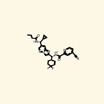 CCCC(=O)N[C@@H](c1cnn2cc([C@@H](NC(=O)c3cc(C#N)ccn3)C3CCC(F)(F)CC3)nc2c1)C1CC1